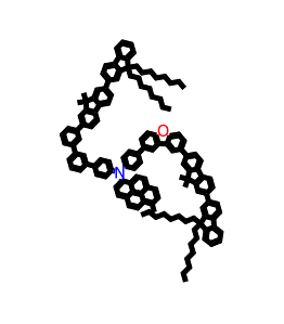 CCCCCCCCC1(CCCCCCCC)c2ccccc2-c2ccc(-c3ccc4c(c3)C(C)(C)c3cc(-c5cccc(-c6cccc(-c7ccc(N(c8ccc(-c9ccc%10oc%11ccc(-c%12ccc%13c(c%12)C(C)(C)c%12cc(-c%14ccc%15c(c%14)C(CCCCCCCC)(CCCCCCCC)c%14ccccc%14-%15)ccc%12-%13)cc%11c%10c9)cc8)c8ccc9ccc%10c(C)ccc%11ccc8c9c%11%10)cc7)c6)c5)ccc3-4)cc21